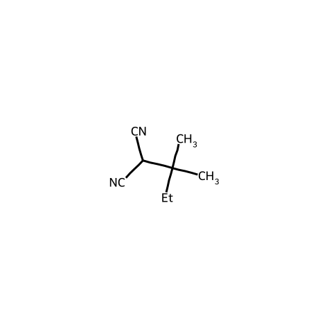 CCC(C)(C)C(C#N)C#N